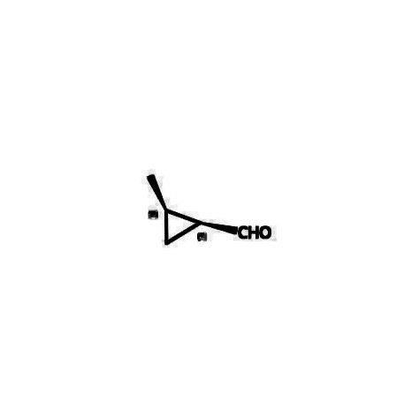 C[C@@H]1C[C@@H]1C=O